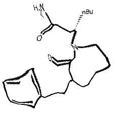 CCCC[C@@H](C(N)=O)N1CCCC(Cc2ccccc2)C1=O